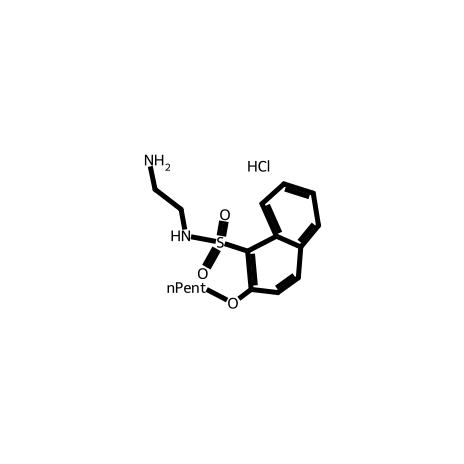 CCCCCOc1ccc2ccccc2c1S(=O)(=O)NCCN.Cl